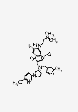 Cc1ccc(N2CCC[C@H](N(Cc3ccnc(C)c3)Cc3cn(C4CC4)c4cc(NCCN(C)C)c(F)cc4c3=O)C2)cn1